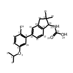 CC(C)Oc1ccc(F)c(-c2ccc3c(c2)CC(C)(C)C3NC(=O)O)c1